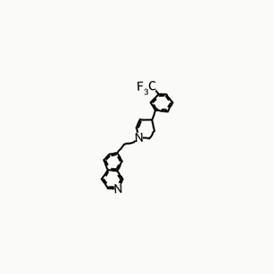 FC(F)(F)c1cccc(C2C=CN(CCc3ccc4ccncc4c3)CC2)c1